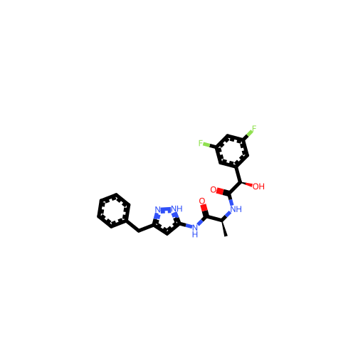 C[C@H](NC(=O)[C@H](O)c1cc(F)cc(F)c1)C(=O)Nc1cc(Cc2ccccc2)n[nH]1